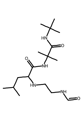 CC(C)CC(NCCNC=O)C(=O)NC(C)(C)C(=O)NC(C)(C)C